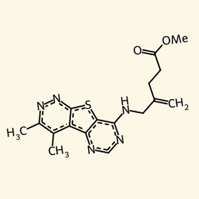 C=C(CCC(=O)OC)CNc1ncnc2c1sc1nnc(C)c(C)c12